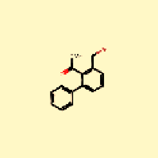 COC(=O)c1c(CBr)cccc1-c1ccccc1